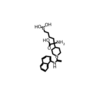 C=C(Nc1cccc2ccccc12)N1CCC(C(N)(CCCCB(O)O)C(=O)O)CC1